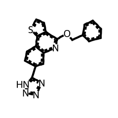 c1ccc(COc2nc3cc(-c4nnn[nH]4)ccc3c3sccc23)cc1